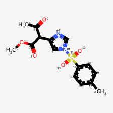 COC(=O)C(C(C)=O)c1cn(S(=O)(=O)c2ccc(C)cc2)cn1